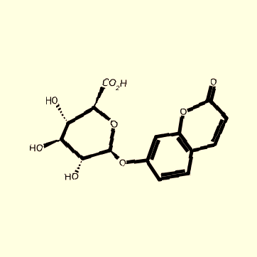 O=C(O)[C@H]1O[C@@H](Oc2ccc3ccc(=O)oc3c2)[C@H](O)[C@@H](O)[C@@H]1O